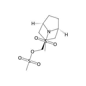 CS(=O)(=O)OC[C@H]1C[C@H]2CC[C@@H](C1)N2S(C)(=O)=O